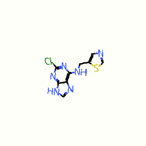 Clc1nc(NCc2cncs2)c2nc[nH]c2n1